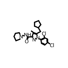 Cc1c(C(=O)NN2CCCCC2)nn(-c2ccc(Cl)cc2Cl)c1CC1CCCC1